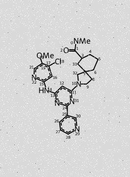 CNC(=O)C1CCCC2(CCN(c3cc(Nc4cc(Cl)c(OC)cn4)nc(-c4cccnc4)n3)C2)C1